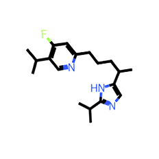 CC(C)c1ncc(C(C)CCCc2cc(F)c(C(C)C)cn2)[nH]1